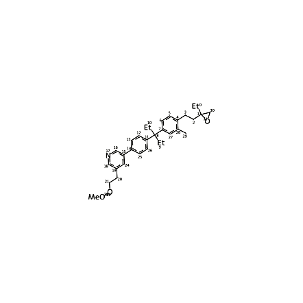 CCC1(CCc2ccc(C(CC)(CC)c3ccc(-c4cncc(CCOOC)c4)cc3)cc2C)CO1